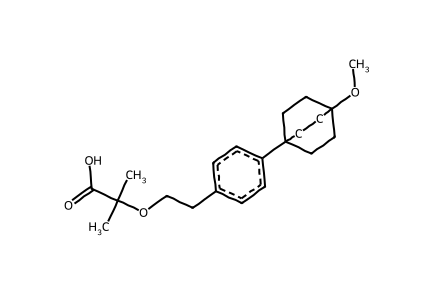 COC12CCC(c3ccc(CCOC(C)(C)C(=O)O)cc3)(CC1)CC2